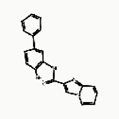 Nc1ccc(-c2ccccc2)cc1NC(=O)c1cn2ccccc2n1